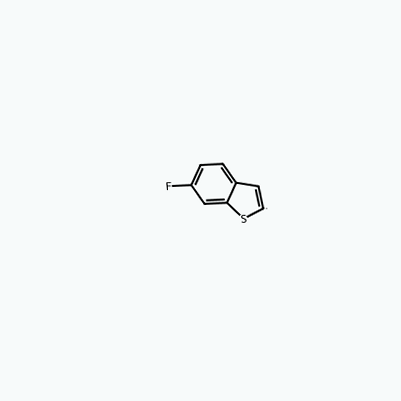 Fc1ccc2c[c]sc2c1